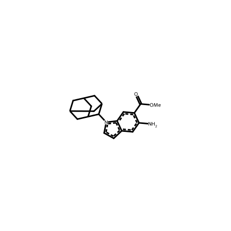 COC(=O)c1cc2c(ccn2C2C3CC4CC(C3)CC2C4)cc1N